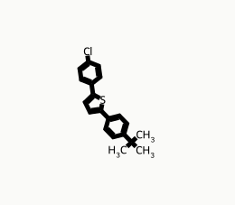 CC(C)(C)c1ccc(-c2ccc(-c3ccc(Cl)cc3)s2)cc1